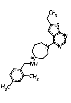 Cc1ccc(CN[C@@H]2CCCN(c3ncnc4sc(CC(F)(F)F)cc34)CC2)c(C)c1